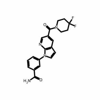 NC(=O)c1cccc(-n2ccc3cc(C(=O)N4CCC(F)(F)CC4)cnc32)c1